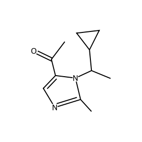 CC(=O)c1cnc(C)n1C(C)C1CC1